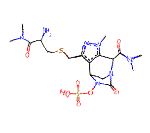 CN(C)C(=O)C1c2c(c(CSC[C@H](N)C(=O)N(C)C)nn2C)C2CN1C(=O)N2OS(=O)(=O)O